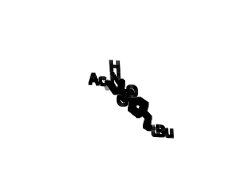 CC(=O)[C@@H]1CC(S(=O)(=O)c2ccc(CCC(C)(C)C)cc2)CN1